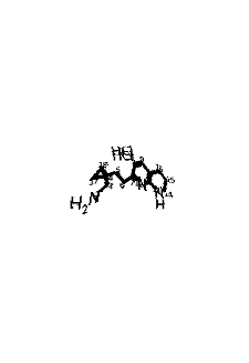 Cl.Cl.NCC1(CCc2ccc3c(n2)NCCC3)CC1